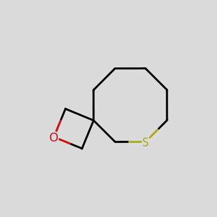 C1CCSCC2(CC1)COC2